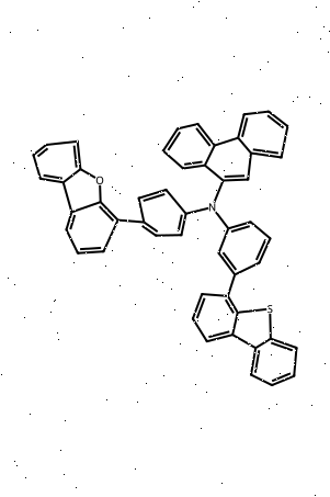 c1cc(-c2cccc3c2sc2ccccc23)cc(N(c2ccc(-c3cccc4c3oc3ccccc34)cc2)c2cc3ccccc3c3ccccc23)c1